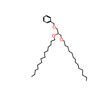 CCCCCCCCCCCCCCOC[C@H](COCc1ccccc1)OCCCCCCCCCCCCCC